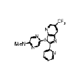 CNc1cnc(-n2c(-c3ccccn3)nc3cc(C(F)(F)F)cnc32)cn1